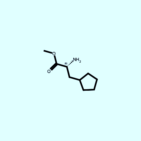 COC(=O)[C@H](N)CC1CCCC1